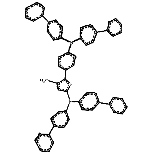 Cc1cc(N(c2ccc(-c3ccccc3)cc2)c2ccc(-c3ccccc3)cc2)sc1-c1ccc(N(c2ccc(-c3ccccc3)cc2)c2ccc(-c3ccccc3)cc2)cc1